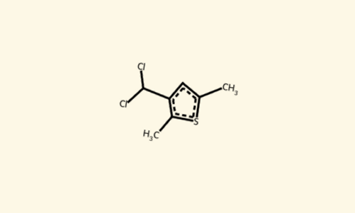 Cc1cc(C(Cl)Cl)c(C)s1